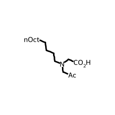 CCCCCCCCCCCCN(CC(C)=O)CC(=O)O